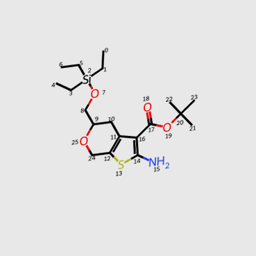 CC[Si](CC)(CC)OCC1Cc2c(sc(N)c2C(=O)OC(C)(C)C)CO1